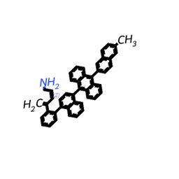 C=C(/C=C\CN)c1ccccc1-c1ccc(-c2c3ccccc3c(-c3ccc4cc(C)ccc4c3)c3ccccc23)c2ccccc12